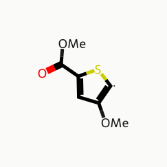 COC(=O)c1cc(OC)[c]s1